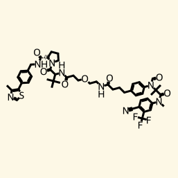 Cc1ncsc1-c1ccc(CNC(=O)[C@@H]2CCCN2C(=O)C(NC(=O)CCOCCNC(=O)CCCc2ccc(N(C=O)C(C)(C)C(=O)N(C)c3ccc(C#N)c(C(F)(F)F)c3)cc2)C(C)(C)C)cc1